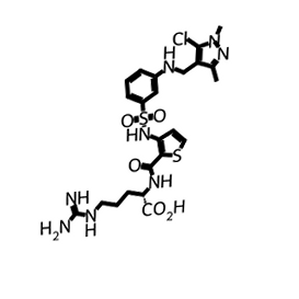 Cc1nn(C)c(Cl)c1CNc1cccc(S(=O)(=O)Nc2ccsc2C(=O)N[C@@H](CCCNC(=N)N)C(=O)O)c1